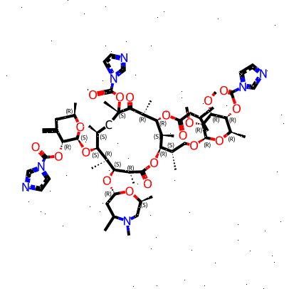 C=C1C[C@@H](C)O[C@@H](O[C@@H]2[C@@H](C)[C@H](O[C@H]3CC(C)N(C)C[C@H](C)O3)[C@@H](C)C(=O)O[C@H]([C@@H](C)CO[C@@H]3O[C@H](C)[C@@H](OC(=O)n4ccnc4)[C@@H](OC)[C@H]3OC)[C@H](C)[C@@H](OC(=O)CC(C)C)[C@@H](C)C(=O)[C@@](C)(OC(=O)n3ccnc3)C[C@@H]2C)[C@@H]1OC(=O)n1ccnc1